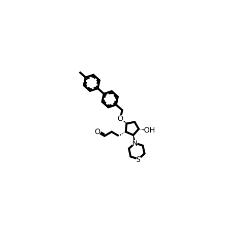 Cc1ccc(-c2ccc(CO[C@@H]3C[C@H](O)[C@@H](N4CCSCC4)[C@@H]3CCC=O)cc2)cc1